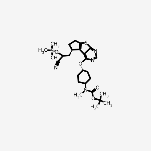 CN(C(=O)OC(C)(C)C)[C@H]1CC[C@H](Oc2ncnc3sc4c(c23)[C@@H](CC(C#N)O[Si](C)(C)C)CC4)CC1